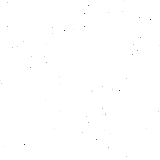 O=C(NCCCN1CCCC1)c1ccc(Cn2c(Cc3c(Cl)cccc3Cl)nc3ccccc32)cc1